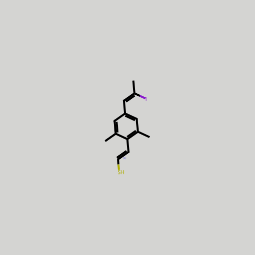 CC(I)=Cc1cc(C)c(/C=C/S)c(C)c1